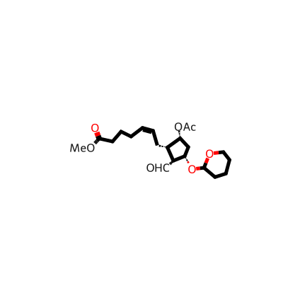 COC(=O)CCC/C=C\C[C@H]1[C@H](C=O)[C@@H](OC2CCCCO2)C[C@H]1OC(C)=O